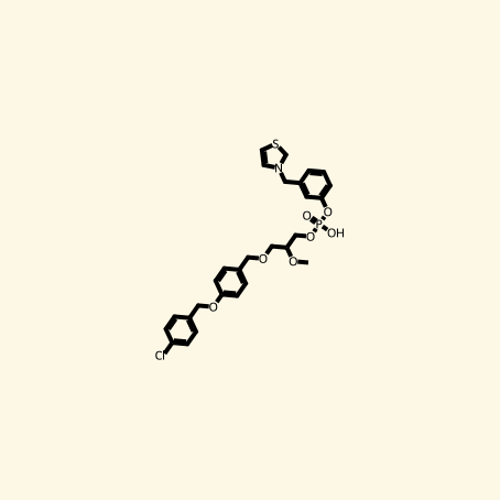 COC(COCc1ccc(OCc2ccc(Cl)cc2)cc1)COP(=O)(O)Oc1cccc(CN2C=CSC2)c1